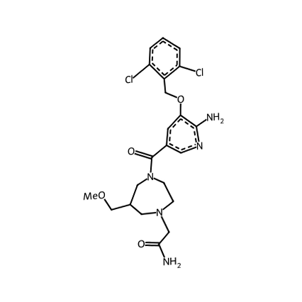 COCC1CN(CC(N)=O)CCN(C(=O)c2cnc(N)c(OCc3c(Cl)cccc3Cl)c2)C1